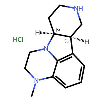 CN1CCN2c3c(cccc31)[C@@H]1CNCC[C@@H]12.Cl